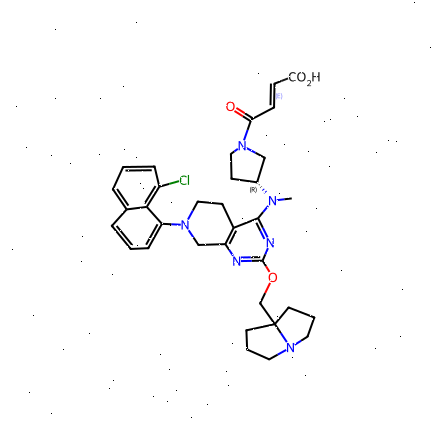 CN(c1nc(OCC23CCCN2CCC3)nc2c1CCN(c1cccc3cccc(Cl)c13)C2)[C@@H]1CCN(C(=O)/C=C/C(=O)O)C1